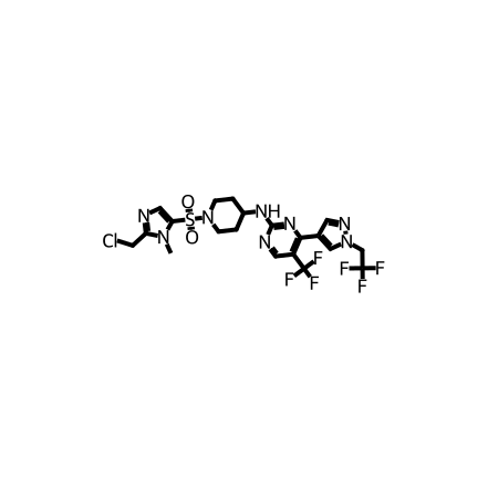 Cn1c(S(=O)(=O)N2CCC(Nc3ncc(C(F)(F)F)c(-c4cnn(CC(F)(F)F)c4)n3)CC2)cnc1CCl